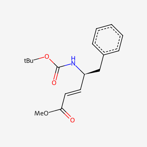 COC(=O)/C=C/[C@H](Cc1ccccc1)NC(=O)OC(C)(C)C